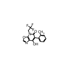 Cc1ccccc1-c1c(O)c2ncoc2n(CC(F)(F)F)c1=O